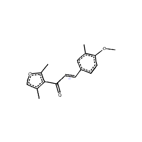 COc1ccc(/C=C/C(=O)c2c(C)coc2C)cc1C